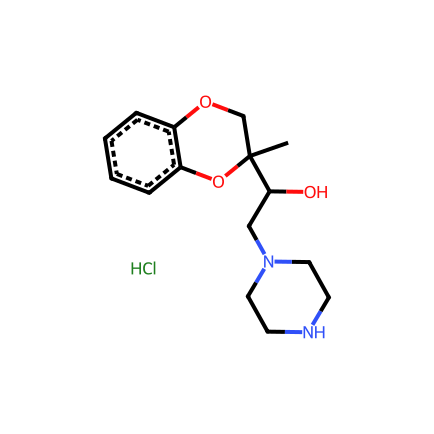 CC1(C(O)CN2CCNCC2)COc2ccccc2O1.Cl